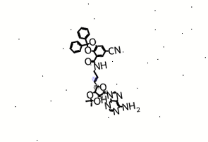 CC1(C)OC2[C@@H](/C=C/CNC(=O)c3cc(C#N)cc4c3OC(c3ccccc3)(c3ccccc3)O4)O[C@@H](n3cnc4c(N)ncnc43)[C@H]2O1